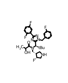 CC(O)C(=O)N(C[C@@H]1CNC[C@@H]1F)[C@@H](c1nc(-c2cc(F)ccc2F)nn1Cc1cccc(F)c1)C(C)(C)C